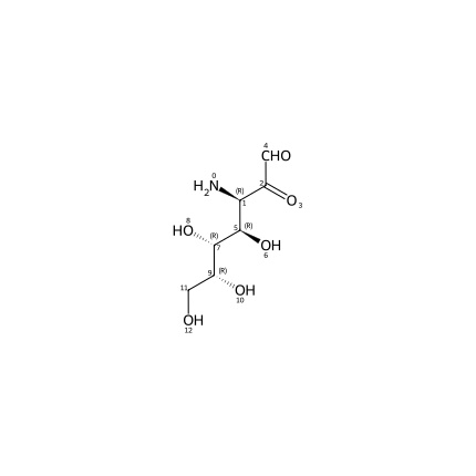 N[C@@H](C(=O)C=O)[C@@H](O)[C@@H](O)[C@H](O)CO